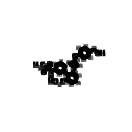 CS(=O)(=O)Nc1cccc(-c2c(C(=O)O)cccc2N2CC(Oc3ccc(CO)cc3)C2)c1